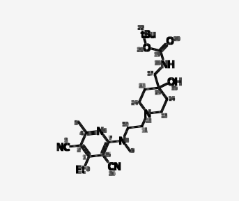 CCc1c(C#N)c(C)nc(N(C)CCN2CCC(O)(CNC(=O)OC(C)(C)C)CC2)c1C#N